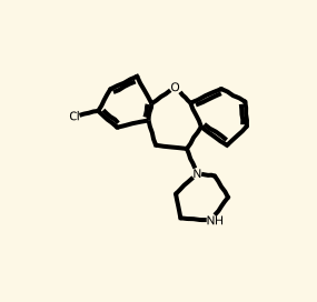 Clc1ccc2c(c1)CC(N1CCNCC1)c1ccccc1O2